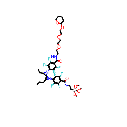 CCCC1N(c2c(F)c(F)c(C(=O)NCC[Si](OC)(OC)OC)c(F)c2F)C12C(CC)N2c1c(F)c(F)c(C(=O)NCCOCCOCCOC2CCCCO2)c(F)c1F